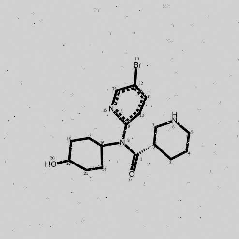 O=C([C@H]1CCCNC1)N(c1ccc(Br)cn1)C1CCC(O)CC1